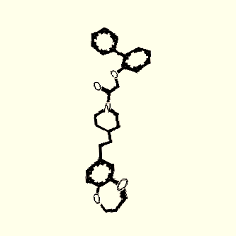 O=C(COc1ccccc1-c1ccccc1)N1CCC(CCc2ccc3c(c2)OCCCO3)CC1